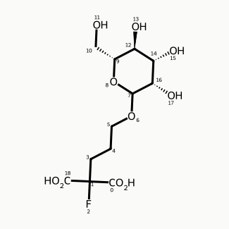 O=C(O)C(F)(CCCOC1O[C@H](CO)[C@@H](O)[C@H](O)[C@@H]1O)C(=O)O